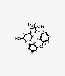 CC(C)(O)CC1CCCC(O)C1.c1ccc(Oc2ccccc2)cc1